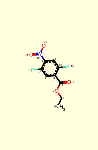 CCOC(=O)c1cc(F)c([N+](=O)[O-])cc1F